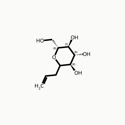 C=CCC1O[C@H](CO)[C@@H](O)[C@H](O)[C@H]1O